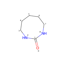 O=C1NCCCCCN1